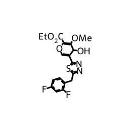 CCOC(=O)C1=C(OC)C(O)C(c2nnc(Cc3ccc(F)cc3F)s2)=CO1